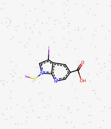 O=C(O)c1cnc2c(c1)c(I)cn2SI